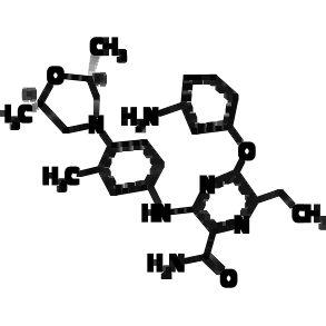 CCc1nc(C(N)=O)c(Nc2ccc(N3C[C@@H](C)O[C@@H](C)C3)c(C)c2)nc1Oc1cccc(N)c1